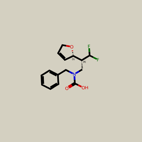 O=C(O)N(Cc1ccccc1)C[C@@H](C(F)F)[C@@H]1C=CCO1